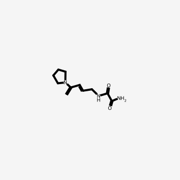 C=C(/C=C/CNC(=O)C(N)=O)N1CCCC1